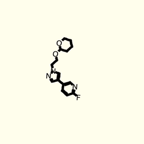 Fc1ccc(-c2cnn(CCOC3CCCCO3)c2)cn1